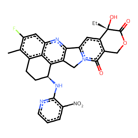 CC[C@@]1(O)C(=O)OCc2c1cc1n(c2=O)Cc2c-1nc1cc(F)c(C)c3c1c2[C@@H](Nc1ncccc1[N+](=O)[O-])CC3